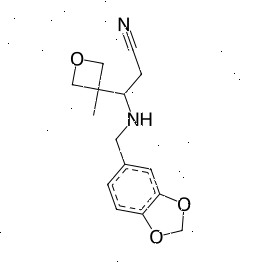 CC1(C(CC#N)NCc2ccc3c(c2)OCO3)COC1